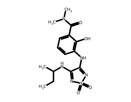 CCC(C)NC1=NS(=O)(=O)N=C1Nc1cccc(C(=O)N(C)C)c1O